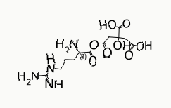 N=C(N)NCCC[C@@H](N)C(=O)OC(=O)CC(O)(CC(=O)O)C(=O)O